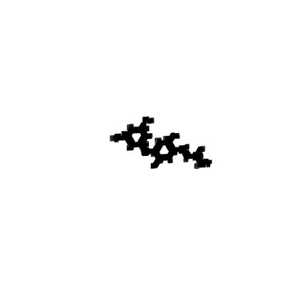 CCCN(C)C=Nc1cc(C)c(Oc2cc(F)cc(F)c2)cc1C